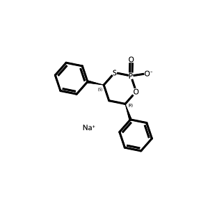 O=P1([O-])O[C@@H](c2ccccc2)C[C@@H](c2ccccc2)S1.[Na+]